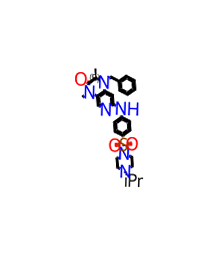 CC(C)N1CCN(S(=O)(=O)c2ccc(Nc3cc4c(cn3)N(C)C(=O)[C@@H](C)N4Cc3ccccc3)cc2)CC1